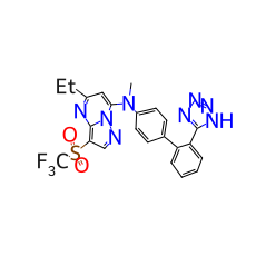 CCc1cc(N(C)c2ccc(-c3ccccc3-c3nnn[nH]3)cc2)n2ncc(S(=O)(=O)C(F)(F)F)c2n1